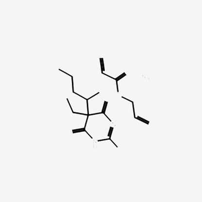 C=CCOC(=O)C=C.CCCC(C)C1(CC)C(=O)N=C([O-])NC1=O.[Na+]